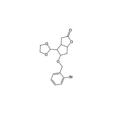 O=C1CC2C(CC(OCc3ccccc3Br)C2C2OCCO2)O1